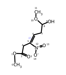 COC(=O)C/C(=C/CC(O)OC)[N+](=O)[O-]